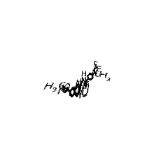 Cc1ncc(-c2ccc3cnc(NC(=O)C4CCC(N(C)CC(F)F)CC4)nc3c2)o1